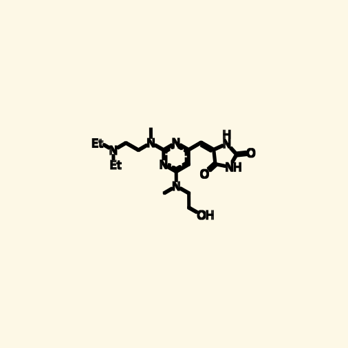 CCN(CC)CCN(C)c1nc(/C=C2/NC(=O)NC2=O)cc(N(C)CCO)n1